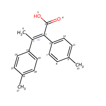 C/C(=C(\C(=O)O)c1ccc(C)cc1)c1ccc(C)cc1